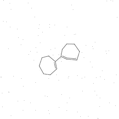 C1=CCCCCC=1C1=CCCCCC1